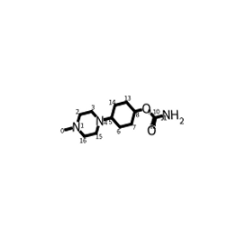 CN1CCN(C2CCC(OC(N)=O)CC2)CC1